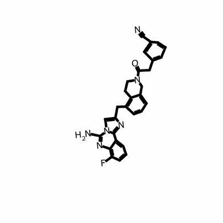 N#Cc1cccc(CC(=O)N2CCc3c(Cc4cn5c(N)nc6c(F)cccc6c5n4)cccc3C2)c1